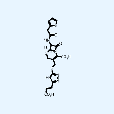 O=C(O)CCc1nnc(SCC2=C(C(=O)O)N3C(=O)C(NC(=O)Cc4cccs4)[C@@H]3SC2)[nH]1